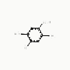 Nc1cc(S(=O)(=O)O)c(N)cc1S